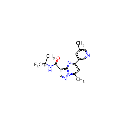 Cc1cncc(-c2cc(C)n3ncc(C(=O)N[C@H](C)C(F)(F)F)c3n2)c1